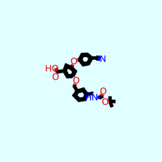 CC(C)(C)OC(=O)NCc1cccc(COc2cc(Oc3ccc(C#N)cc3)cc(C(=O)O)c2)c1